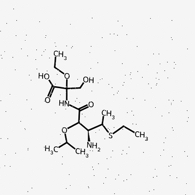 CCOC(CO)(NC(=O)C(OC(C)C)[C@H](N)C(C)SCC)C(=O)O